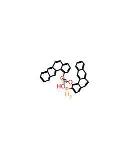 OB(Oc1cccc2ccc3cc4ccccc4cc3c12)Oc1c(P)ccc2ccc3cc4ccccc4cc3c12